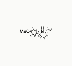 C=CC1CCCC(c2ccc(OC)cc2)N1